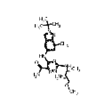 COC[C@H](N)[C@@H](C)Nc1nnc(C(N)=O)c(Nc2cc(C)c3nn(C(C)(C)C)cc3c2)n1